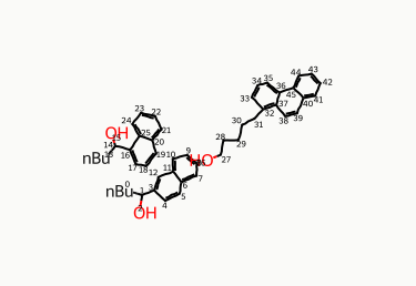 CCCCC(O)c1ccc2ccccc2c1.CCCCC(O)c1cccc2ccccc12.OCCCCCc1cccc2c1ccc1ccccc12